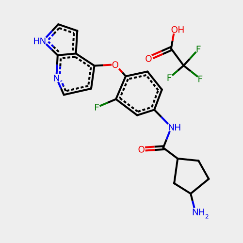 NC1CCC(C(=O)Nc2ccc(Oc3ccnc4[nH]ccc34)c(F)c2)C1.O=C(O)C(F)(F)F